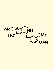 COc1cc2c(cc1O)[C@H](Cc1ccc(OC)c(OC)c1)NCC2